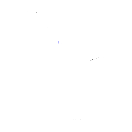 CNCCCC[C@@H](CC(=O)NCC(O)CNC)NC